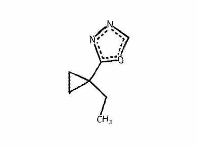 CCC1(c2nnco2)CC1